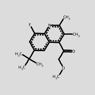 COCC(=O)c1c(C)c(C)nc2c(F)cc(C(C)(C)C)cc12